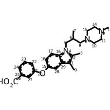 Cc1c(C)n(CC(C)CN2CCN(C)CC2)c2ccc(Oc3cccc(C(=O)O)c3)cc12